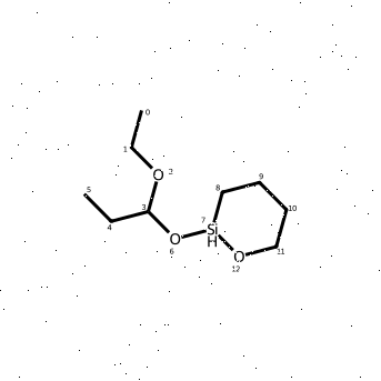 CCOC(CC)O[SiH]1CCCCO1